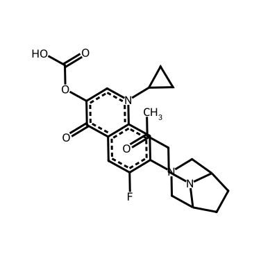 CC(=O)CCN1C2CCC1CN(c1cc3c(cc1F)c(=O)c(OC(=O)O)cn3C1CC1)C2